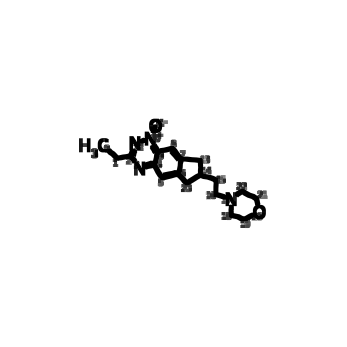 CCc1nc2cc3c(cc2[n+]([O-])n1)CC(CCN1CCOCC1)C3